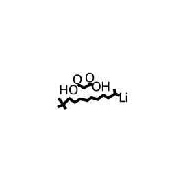 O=C(O)CC(=O)O.[Li][CH](C)CCCCCCCCC(C)(C)C